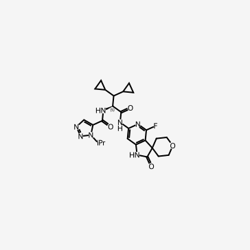 CC(C)n1nncc1C(=O)N[C@H](C(=O)Nc1cc2c(c(F)n1)C1(CCOCC1)C(=O)N2)C(C1CC1)C1CC1